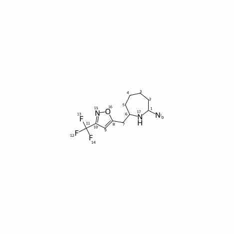 [N]C1CCCCC(Cc2cc(C(F)(F)F)no2)N1